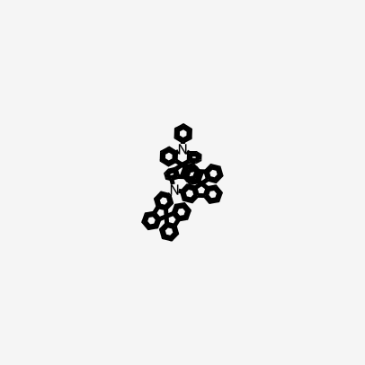 c1ccc(N2c3ccccc3C3(c4ccccc4-c4c(N(c5ccc6c(c5)C5(c7ccccc7-c7ccccc75)c5ccccc5-6)c5ccc6c(c5)C5(c7ccccc7-c7ccccc75)c5ccccc5-6)cccc43)c3ccccc32)cc1